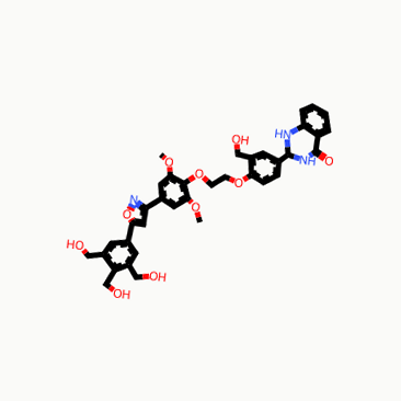 COc1cc(-c2cc(-c3cc(CO)c(CO)c(CO)c3)on2)cc(OC)c1OCCOc1ccc(C2NC(=O)c3ccccc3N2)cc1CO